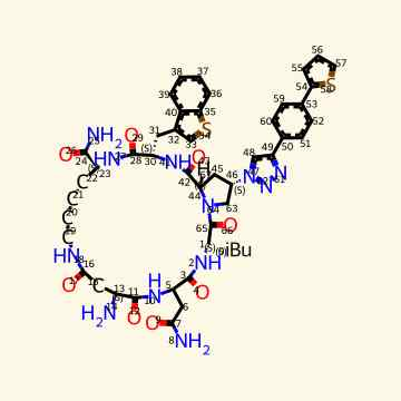 CC[C@H](C)[C@@H]1NC(=O)C(CC(N)=O)NC(=O)[C@@H](N)CC(=O)NCCCC[C@@H](C(N)=O)NC(=O)[C@H](Cc2csc3ccccc23)NC(=O)[C@@H]2C[C@H](n3cc(-c4ccc(-c5cccs5)cc4)nn3)CN2C1=O